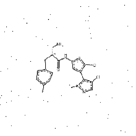 Cn1ncc(Cl)c1-c1cc(NC(=O)[C@@H](CN)Cc2ccc(F)cc2)sc1Cl